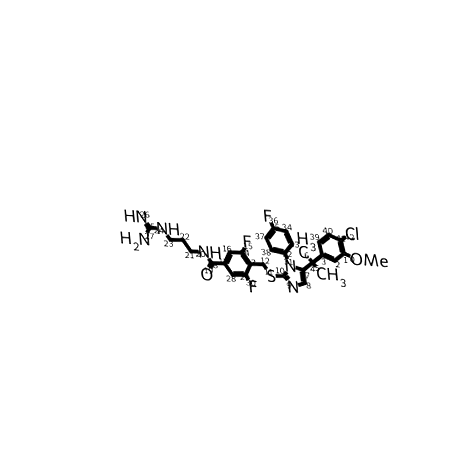 COc1cc(C(C)(C)c2cnc(SCc3c(F)cc(C(=O)NCCCNC(=N)N)cc3F)n2-c2ccc(F)cc2)ccc1Cl